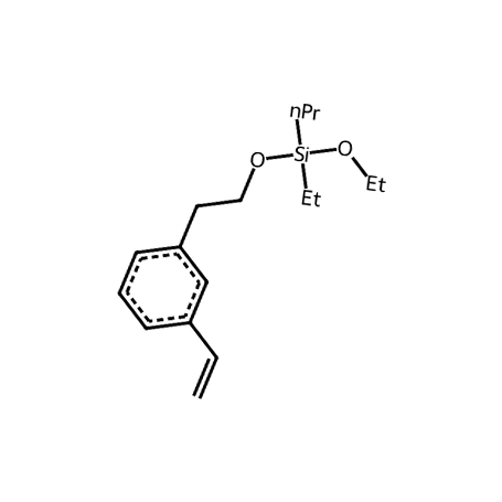 C=Cc1cccc(CCO[Si](CC)(CCC)OCC)c1